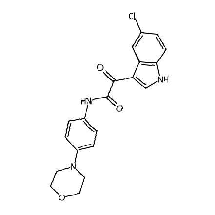 O=C(Nc1ccc(N2CCOCC2)cc1)C(=O)c1c[nH]c2ccc(Cl)cc12